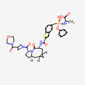 CC(NP(=O)(Cc1ccc2sc(C(=O)N[C@H]3C[C@@H]4C[C@@H]4C[C@H]4CC[C@@H](C(=O)N5CC(C(=O)N6CCOCC6)C5)N4C3=O)cc2c1)Oc1ccccc1)C(=O)O